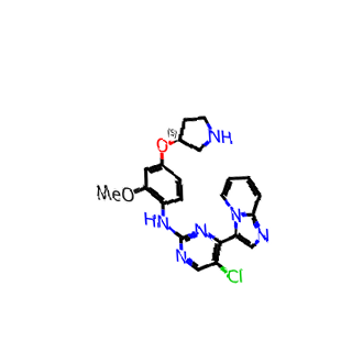 COc1cc(O[C@H]2CCNC2)ccc1Nc1ncc(Cl)c(-c2cnc3ccccn23)n1